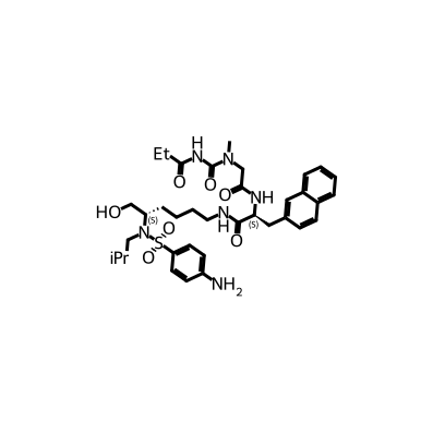 CCC(=O)NC(=O)N(C)CC(=O)N[C@@H](Cc1ccc2ccccc2c1)C(=O)NCCCC[C@@H](CO)N(CC(C)C)S(=O)(=O)c1ccc(N)cc1